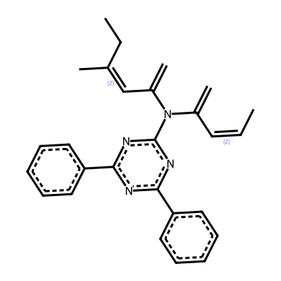 C=C(/C=C\C)N(C(=C)/C=C(/C)CC)c1nc(-c2ccccc2)nc(-c2ccccc2)n1